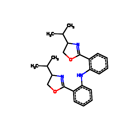 CC(C)C1COC(c2ccccc2Nc2ccccc2C2=NC(C(C)C)CO2)=N1